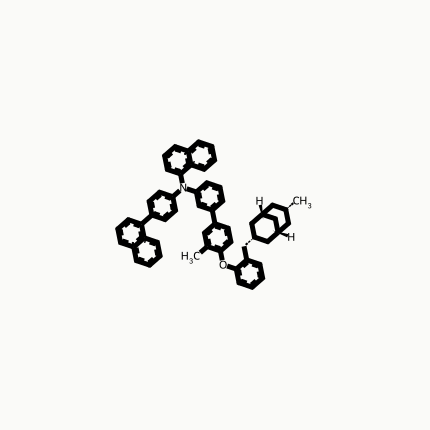 Cc1cc(-c2cccc(N(c3ccc(-c4cccc5ccccc45)cc3)c3cccc4ccccc34)c2)ccc1Oc1ccccc1C[C@H]1C[C@H]2C[C@@H](C)C[C@@H](C1)C2